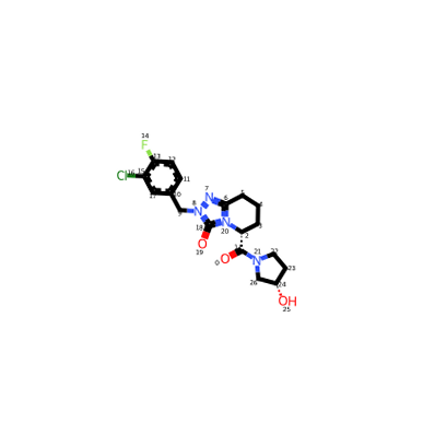 O=C([C@H]1CCCc2nn(Cc3ccc(F)c(Cl)c3)c(=O)n21)N1CC[C@H](O)C1